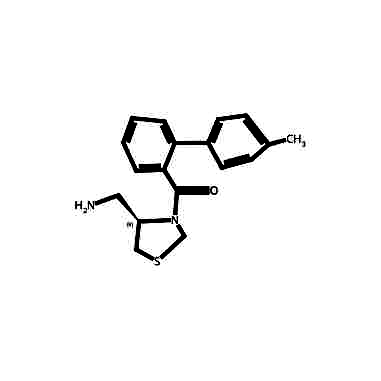 Cc1ccc(-c2ccccc2C(=O)N2CSC[C@H]2CN)cc1